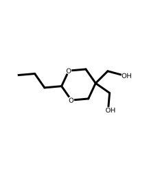 CCCC1OCC(CO)(CO)CO1